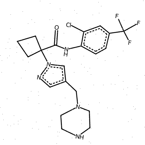 O=C(Nc1ccc(C(F)(F)F)cc1Cl)C1(n2cc(CN3CCNCC3)cn2)CCC1